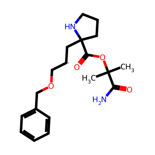 CC(C)(OC(=O)C1(C[CH]COCc2ccccc2)CCCN1)C(N)=O